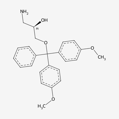 COc1ccc(C(OC[C@H](O)CN)(c2ccccc2)c2ccc(OC)cc2)cc1